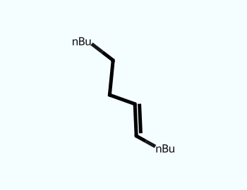 C[CH]CC/C=C/CCCCCC